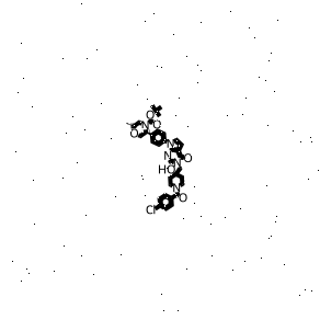 C[C@@H]1CN(C(=O)OC(C)(C)C)[C@@H](c2ccc(-n3ccc4c(=O)n(CC5(O)CCN(C(=O)c6ccc(Cl)cc6)CC5)cnc43)cc2)CO1